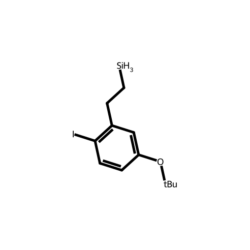 CC(C)(C)Oc1ccc(I)c(CC[SiH3])c1